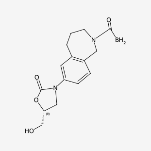 BC(=O)N1CCCc2cc(N3C[C@H](CO)OC3=O)ccc2C1